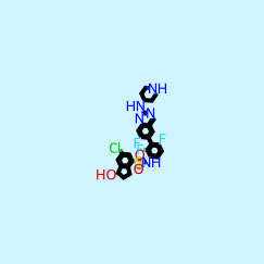 O=S(=O)(Nc1ccc(F)c(-c2cc3cnc(NC4CCNCC4)nc3cc2F)c1F)c1cc(Cl)cc2c1CC[C@H]2O